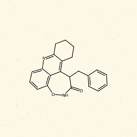 O=C1NOc2cccc3nc4c(c(c23)C1Cc1ccccc1)CCCC4